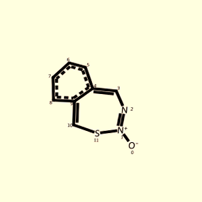 [O-][N+]1=NC=c2ccccc2=CS1